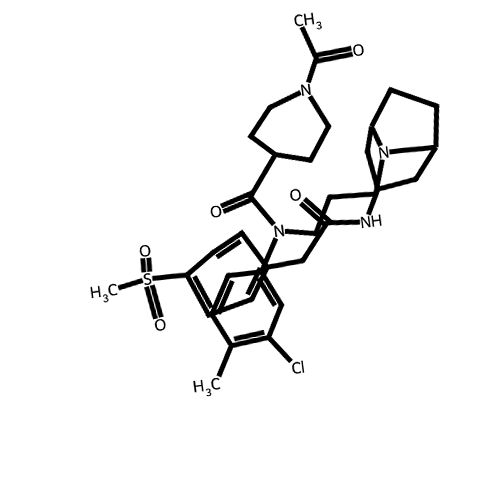 CC(=O)N1CCC(C(=O)N(CCCN2C3CCC2CC(NC(=O)Cc2ccc(S(C)(=O)=O)cc2)C3)c2ccc(C)c(Cl)c2)CC1